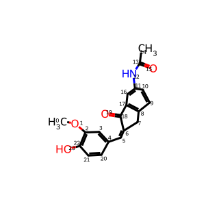 COc1cc(C=C2Cc3ccc(NC(C)=O)cc3C2=O)ccc1O